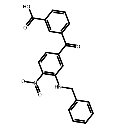 O=C(O)c1cccc(C(=O)c2ccc([N+](=O)[O-])c(NCc3ccccc3)c2)c1